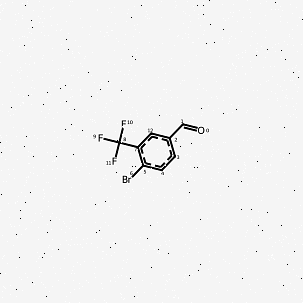 O=Cc1ccc(Br)c(C(F)(F)F)c1